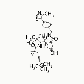 Cc1ncsc1-c1ccc(CNC(=O)[C@@H]2C[C@@H](O)CN2C(=O)C(NC(=O)C2(CC#C[Si](C)(C)C)CC2)C(C)(C)C)cc1